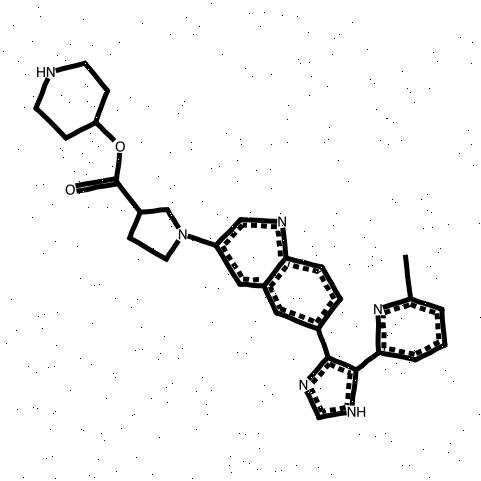 Cc1cccc(-c2[nH]cnc2-c2ccc3ncc(N4CCC(C(=O)OC5CCNCC5)C4)cc3c2)n1